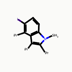 CC(C)c1c(I)ccc2c1c(C(C)C)c(C(C)C)n2[SiH3]